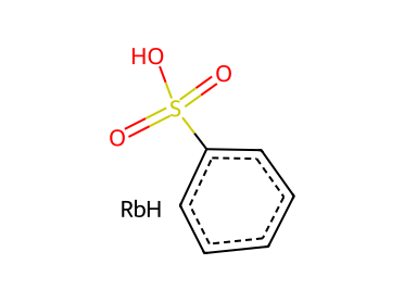 O=S(=O)(O)c1ccccc1.[RbH]